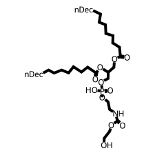 CCCCCCCCCCCCCCCCCC(=O)OCC(COP(=O)(O)OCCNC(=O)OCCO)OC(=O)CCCCCCCCCCCCCCCCC